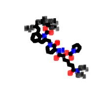 CC(C)Cc1cccc2cc(Cn3cccc(NC(=O)[C@H](CC/C=C/C(=O)N(C)C)OC(=O)N4CCCC4)c3=O)n(C(=O)OC(C)(C)C)c12